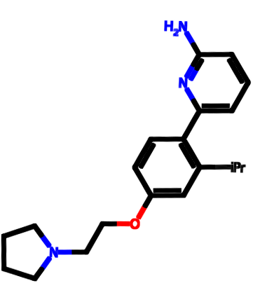 CC(C)c1cc(OCCN2CCCC2)ccc1-c1cccc(N)n1